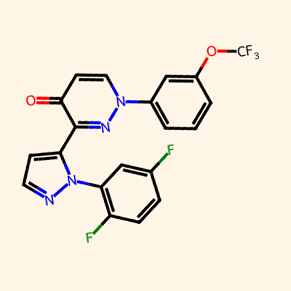 O=c1ccn(-c2cccc(OC(F)(F)F)c2)nc1-c1ccnn1-c1cc(F)ccc1F